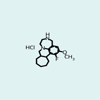 COc1cc2c3c(c1F)C1CCCCCC1CN3CCNC2.Cl